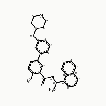 Cc1ccc(-c2cccc(SN3CCNCC3)c2)cc1C(=O)NC(C)c1cccc2ccccc12